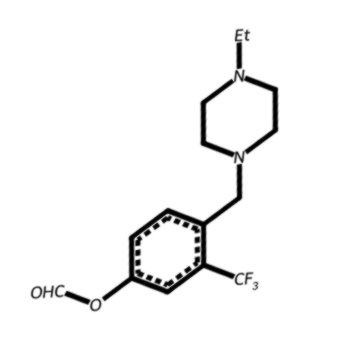 CCN1CCN(Cc2ccc(OC=O)cc2C(F)(F)F)CC1